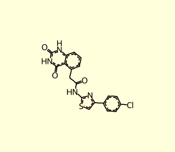 O=C(Cc1cccc2[nH]c(=O)[nH]c(=O)c12)Nc1nc(-c2ccc(Cl)cc2)cs1